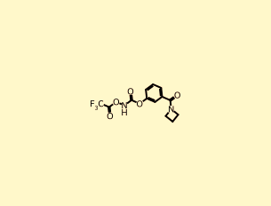 O=C(NOC(=O)C(F)(F)F)Oc1cccc(C(=O)N2CCC2)c1